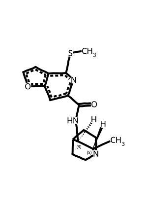 CSc1nc(C(=O)N[C@@H]2C3CCN(CC3)[C@H]2C)cc2occc12